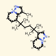 Cc1cnn2cccc(C(C)(C)CCC(C)(C)c3cnn4ccccc34)c12